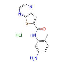 Cc1ccc(N)cc1NC(=O)c1cc2nccnc2s1.Cl